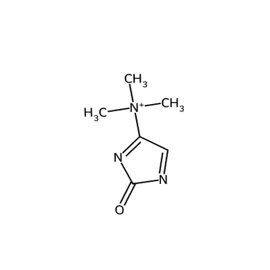 C[N+](C)(C)C1=NC(=O)N=C1